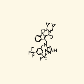 Cn1c(C(=O)N(CC2CC2)CC2CC2)c(CN(Cc2cc(C(F)(F)F)cc(C(F)(F)F)c2)c2nn[nH]n2)c2ccccc21